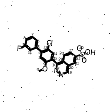 COc1cc(-c2cccc(F)c2)c(Cl)cc1-c1nncc2cc(S(=O)(=O)O)ccc12